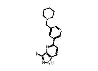 Ic1n[nH]c2ccc(-c3cncc(CN4CCCCC4)c3)nc12